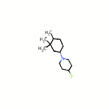 CC1CC[C@@H](N2CCC(F)CC2)CC1(C)C